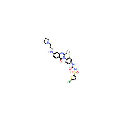 Cc1nc2cc(NCCCN3CCCC3)ccc2c(=O)n1-c1ccc(NC(=O)NS(=O)(=O)c2ccc(Cl)s2)cc1F